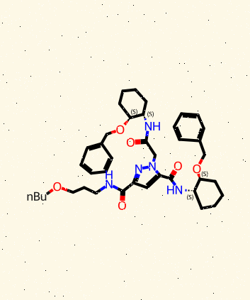 CCCCOCCCNC(=O)c1cc(C(=O)N[C@H]2CCCC[C@@H]2OCc2ccccc2)n(CC(=O)N[C@H]2CCCC[C@@H]2OCc2ccccc2)n1